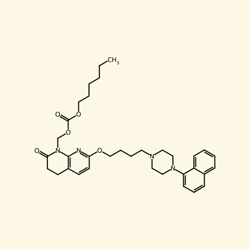 CCCCCCOC(=O)OCN1C(=O)CCc2ccc(OCCCCN3CCN(c4cccc5ccccc45)CC3)nc21